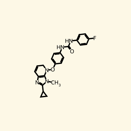 Cn1c(C2CC2)nc2c1N(Oc1ccc(NC(=O)Nc3ccc(F)cc3)cc1)CC=C2